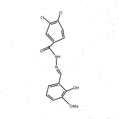 COc1cccc(/C=N/NC(=O)c2ccc(Cl)c(Cl)c2)c1O